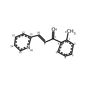 Cc1ccccc1C(=O)C=Cc1ccccn1